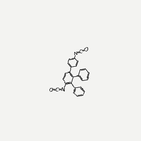 O=C=Nc1ccc(-c2ccc(N=C=O)c(-c3ccccc3)c2-c2ccccc2)cc1